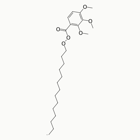 [CH2]CCCCCCCCCCCCCOOC(=O)c1ccc(OC)c(OC)c1OC